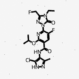 CCn1c(CF)nn(-c2nc(OC(C)C)c(C(=O)Nc3c(C)n[nH]c3Cl)cc2F)c1=O